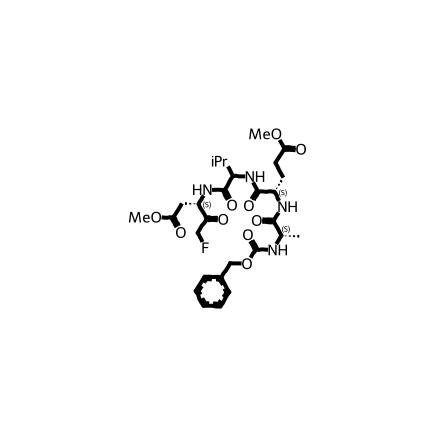 COC(=O)CC[C@H](NC(=O)[C@H](C)NC(=O)OCc1ccccc1)C(=O)NC(C(=O)N[C@@H](CC(=O)OC)C(=O)CF)C(C)C